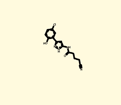 N#CCCCC(=O)Nc1cc(-c2cc(Cl)ccc2O)n[nH]1